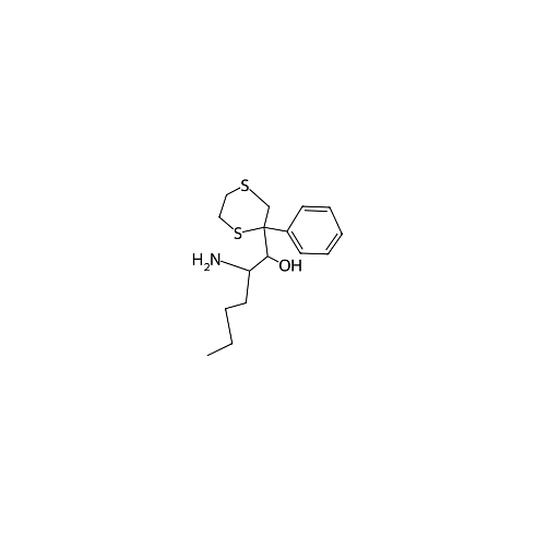 CCCCC(N)C(O)C1(c2ccccc2)CSCCS1